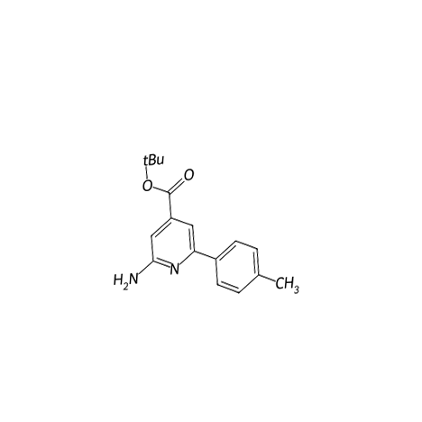 Cc1ccc(-c2cc(C(=O)OC(C)(C)C)cc(N)n2)cc1